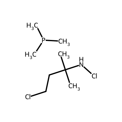 CC(C)(CCCl)NCl.CP(C)C